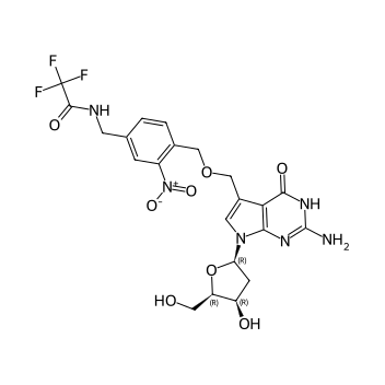 Nc1nc2c(c(COCc3ccc(CNC(=O)C(F)(F)F)cc3[N+](=O)[O-])cn2[C@H]2C[C@@H](O)[C@@H](CO)O2)c(=O)[nH]1